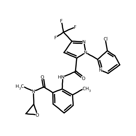 Cc1cccc(C(=O)N(C)C2CO2)c1NC(=O)c1cc(C(F)(F)F)nn1-c1ncccc1Cl